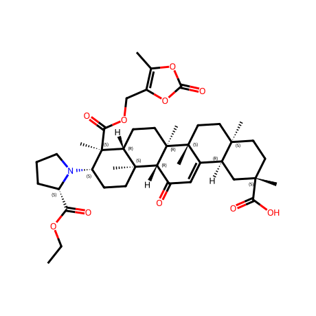 CCOC(=O)[C@@H]1CCCN1[C@H]1CC[C@@]2(C)[C@@H](CC[C@]3(C)[C@@H]2C(=O)C=C2[C@@H]4C[C@@](C)(C(=O)O)CC[C@]4(C)CC[C@]23C)[C@]1(C)C(=O)OCc1oc(=O)oc1C